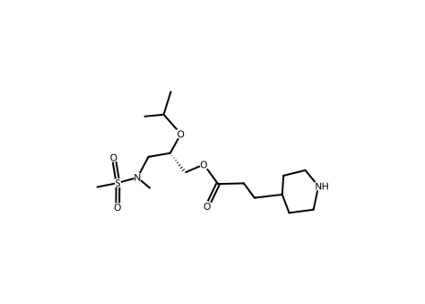 CC(C)O[C@H](COC(=O)CCC1CCNCC1)CN(C)S(C)(=O)=O